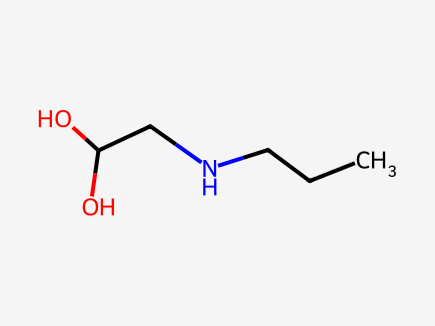 CCCNCC(O)O